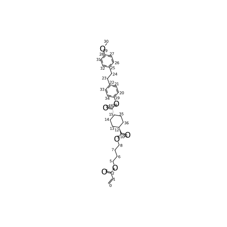 C=CC(=O)OCCCCOC(=O)[C@H]1CC[C@H](C(=O)Oc2ccc(CCc3ccc(OC)cc3)cc2)CC1